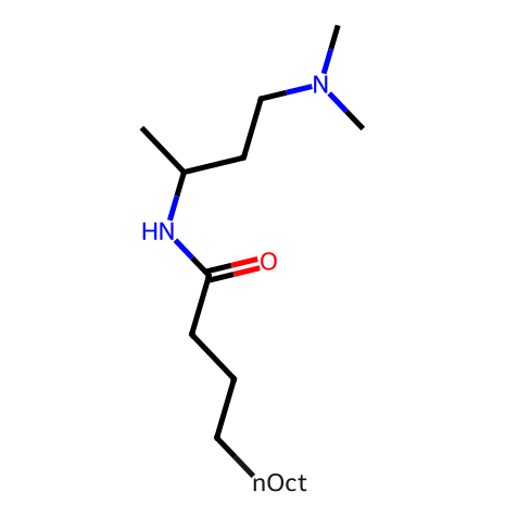 CCCCCCCCCCCC(=O)NC(C)CCN(C)C